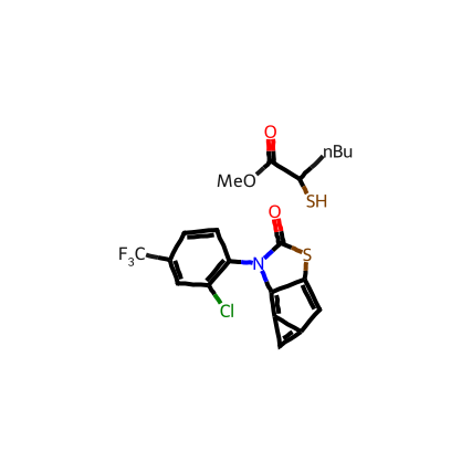 CCCCC(S)C(=O)OC.O=c1sc2cc3cc-3c2n1-c1ccc(C(F)(F)F)cc1Cl